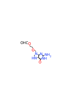 Nc1nc2c(c(=O)[nH]1)NCN2COCCOC=O